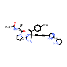 C=C(c1ccc(C(C)(C)C)cc1)C(C)(C#CC#Cc1cnc([C@@H]2CCCN2)[nH]1)/N=C(\N)[C@@H]1CCCN1C(=O)[C@@H](NC(=O)OC)C(C)C